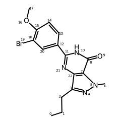 CCCc1nn(C)c2c(=O)[nH]c(-c3ccc(OC)c(Br)c3)nc12